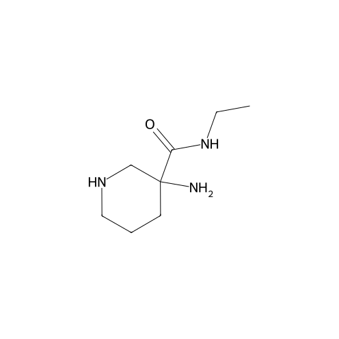 CCNC(=O)C1(N)CCCNC1